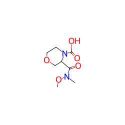 CON(C)C(=O)C1COCCN1C(=O)O